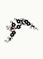 C=CC(=O)Oc1ccc2c3c(ccc2c1)OC1(C=N3)N(Cc2ccc(CN3c4ccc(Cl)cc4C(C)(C)C34C=Nc3c(ccc5cc(OC(=O)C=C)ccc35)O4)cc2)c2ccc(Cl)cc2C1(C)C